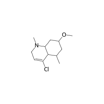 COC1CC(C)C2C(Cl)=CCN(C)C2C1